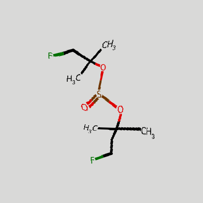 CC(C)(CF)OS(=O)OC(C)(C)CF